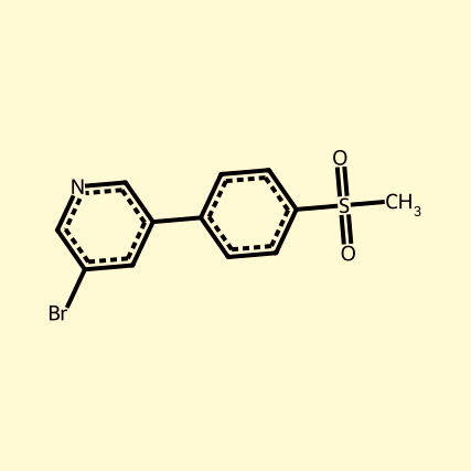 CS(=O)(=O)c1ccc(-c2cncc(Br)c2)cc1